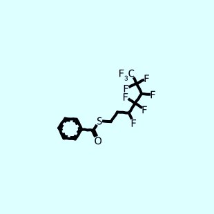 O=C(SCCC(F)C(F)(F)C(F)C(F)(F)C(F)(F)F)c1ccccc1